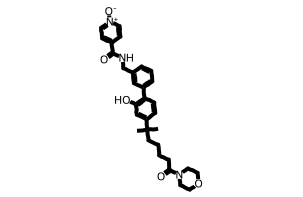 CC(C)(CCCCC(=O)N1CCOCC1)c1ccc(-c2cccc(CNC(=O)c3cc[n+]([O-])cc3)c2)c(O)c1